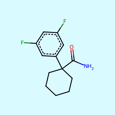 NC(=O)C1(c2cc(F)cc(F)c2)CCCCC1